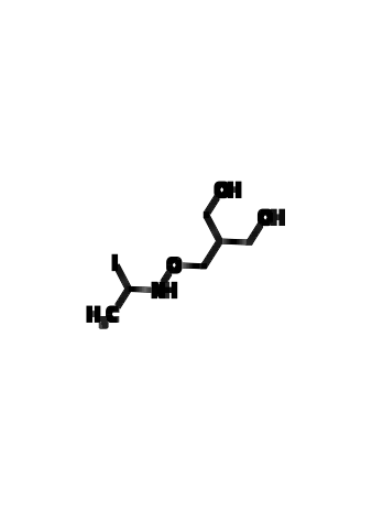 CC(I)NOCC(CO)CO